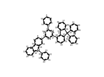 c1ccc(-c2nc(-c3ccc4c5ccccc5n(-c5ccccc5)c4c3)nc(-c3cccc4c3-c3ccccc3C4(c3ccccc3)c3ccccc3)n2)cc1